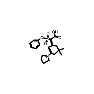 CC1(C)CC(N2CCCC2)=CC(=C(C(=O)O)S(=O)(=O)Oc2ccccc2)C1